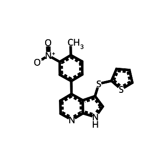 Cc1ccc(-c2ccnc3[nH]cc(Sc4cccs4)c23)cc1[N+](=O)[O-]